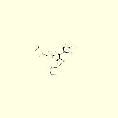 CC(C)OC(C)CN(C)c1nc(-c2cnc(N)nc2)c2cnn(C3CCCCO3)c2n1